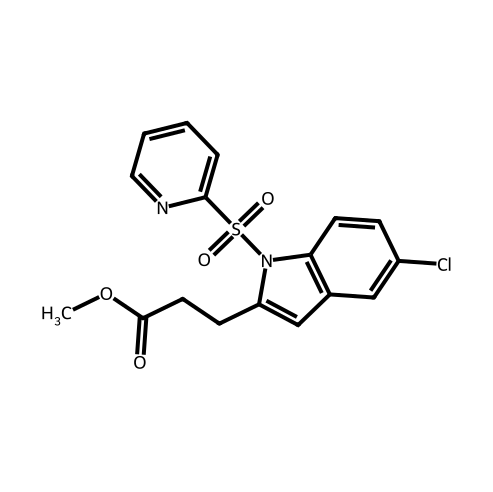 COC(=O)CCc1cc2cc(Cl)ccc2n1S(=O)(=O)c1ccccn1